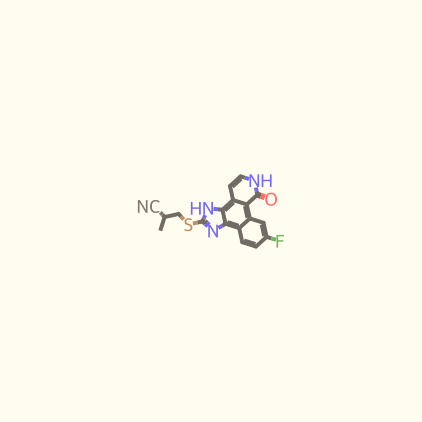 CC(C#N)CSc1nc2c3ccc(F)cc3c3c(=O)[nH]ccc3c2[nH]1